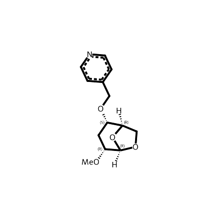 CO[C@@H]1C[C@H](OCc2ccncc2)[C@H]2CO[C@@H]1O2